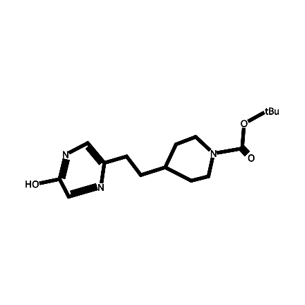 CC(C)(C)OC(=O)N1CCC(CCc2cnc(O)cn2)CC1